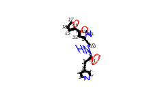 O=C(Cc1ccncc1)NCc1cc(-c2ccco2)on1